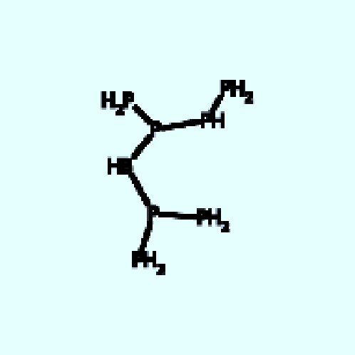 PPP(P)BP(P)P